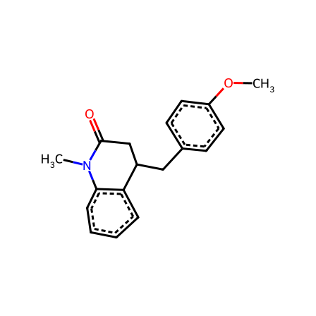 COc1ccc(CC2CC(=O)N(C)c3ccccc32)cc1